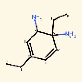 CCC1=CC(N)C(N)(CC)C=C1